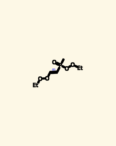 CCOO/C=C/P(C)(=O)OOCC